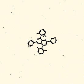 Cc1cccc(C)c1-c1cc(-c2cccnc2)cc2c(-c3c(C)cccc3C)cc(-c3cccnc3)cc12